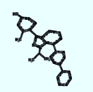 Cc1cc(O)ccc1-c1nn(C(C)C)c2c(-c3ccc(-c4ccccc4)cc3)cccc12